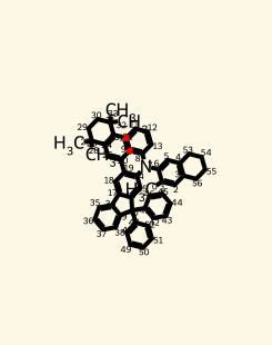 Cc1cc2c(cc1N(c1ccccc1)c1cc3c(cc1-c1ccc4c(c1)C(C)(C)CCC4(C)C)-c1ccccc1C3(c1ccccc1)c1ccccc1)CCCC2